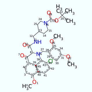 COc1ccc(C(=O)C(C(=O)NCC2CCN(C(=O)OC(C)(C)C)CC2)N(Cc2ccc(OC)cc2OC)c2ccccc2Cl)cc1